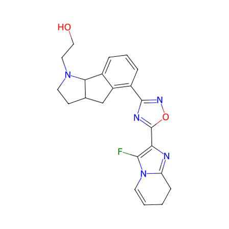 OCCN1CCC2Cc3c(-c4noc(-c5nc6n(c5F)C=CCC6)n4)cccc3C21